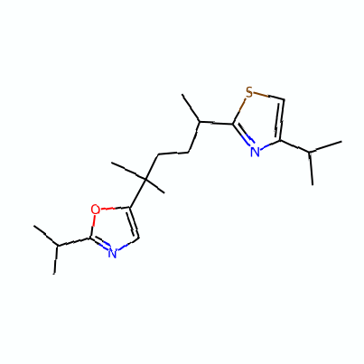 CC(C)c1csc(C(C)CCC(C)(C)c2cnc(C(C)C)o2)n1